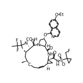 CCOc1ccc2c(O[C@@H]3C[C@H]4C(=O)N[C@]5(C(=O)NS(=O)(=O)C6(CF)CC6)C[C@H]5/C=C\CC[C@@H](C)C[C@@H](C)[C@H](N(C(=O)O)C(C)(C)C(C)(F)F)C(=O)N4C3)nccc2c1